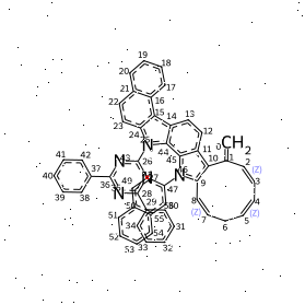 C=C1/C=C\C=C/C/C=C\c2c1c1ccc3c4c5ccccc5ccc4n(-c4nc(-c5ccccc5)nc(-c5ccccc5)n4)c3c1n2-c1ccc2ccccc2c1